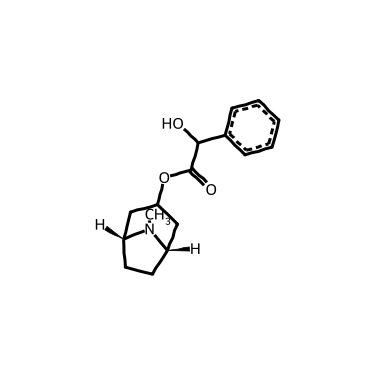 CN1[C@@H]2CC[C@H]1CC(OC(=O)C(O)c1ccccc1)C2